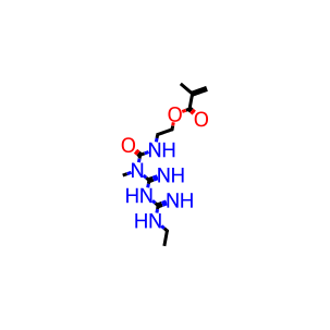 C=C(C)C(=O)OCCNC(=O)N(C)C(=N)NC(=N)NCC